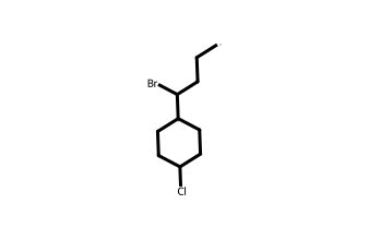 [CH2]CCC(Br)[C]1CCC(Cl)CC1